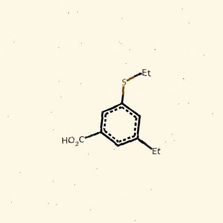 CCSc1cc(CC)cc(C(=O)O)c1